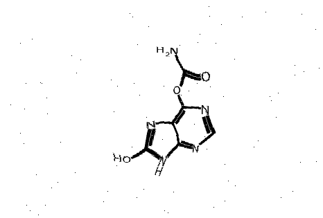 NC(=O)Oc1ncnc2[nH]c(O)nc12